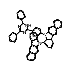 C1=CC2c3cc4ccccc4cc3N(c3ccc(C4=NC(c5ccccc5)=NC(c5ccccc5)N4)cc3)C2C(n2c3ccccc3c3cc4ccccc4cc32)=C1